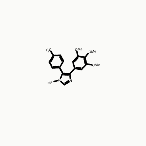 CCCCn1cnc(-c2cc(OC)c(OC)c(OC)c2)c1-c1ccc(C(F)(F)F)cc1